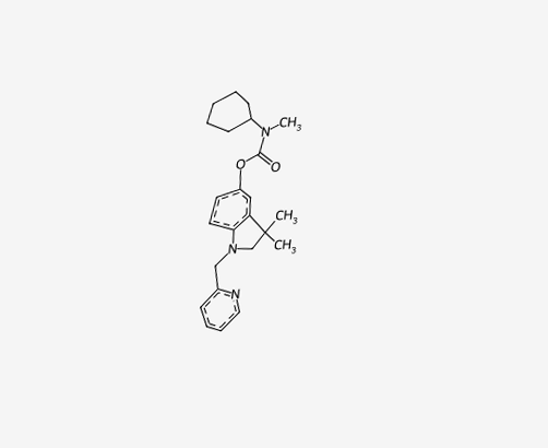 CN(C(=O)Oc1ccc2c(c1)C(C)(C)CN2Cc1ccccn1)C1CCCCC1